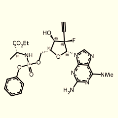 C#C[C@@]1(F)[C@H](O)[C@@H](COP(=O)(N[C@H](C)C(=O)OCC)Oc2ccccc2)O[C@H]1n1cnc2c(NC)nc(N)nc21